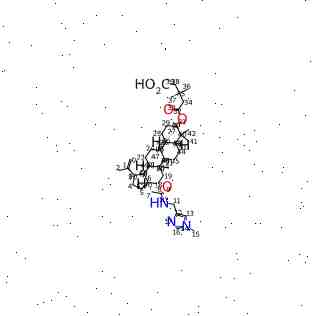 C=C(C)[C@@H]1CC[C@]2(CC(=O)NCc3cn(C)cn3)CC[C@]3(C)[C@H](CC[C@@H]4[C@@]5(C)CC[C@H](OC(=O)CC(C)(C)CC(=O)O)C(C)(C)[C@@H]5CC[C@]43C)[C@@H]12